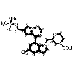 CC(C)(C)[Si](C)(C)OCc1cc2c(-c3cc(Cl)cc4ccn(CC5CN(C(=O)O)CCO5)c34)ncnn2c1